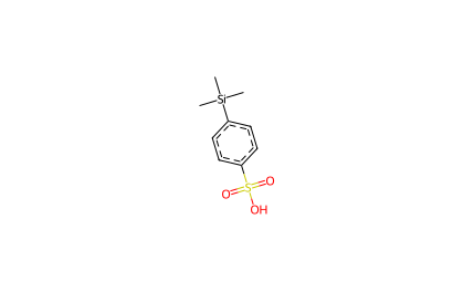 C[Si](C)(C)c1ccc(S(=O)(=O)O)cc1